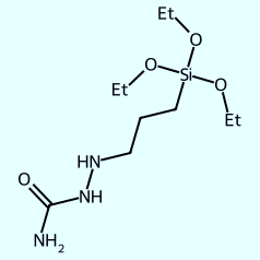 CCO[Si](CCCNNC(N)=O)(OCC)OCC